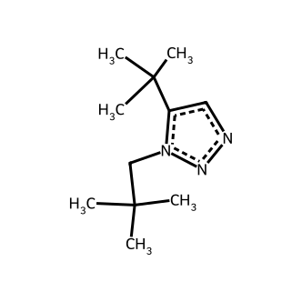 CC(C)(C)Cn1nncc1C(C)(C)C